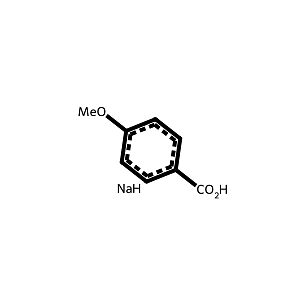 COc1ccc(C(=O)O)cc1.[NaH]